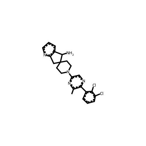 Cc1nc(N2CCC3(CC2)Cc2ncccc2C3N)cnc1-c1cccc(Cl)c1Cl